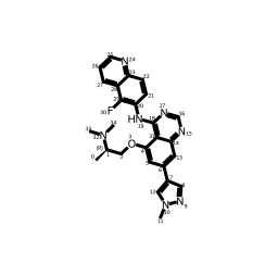 C[C@H](COc1cc(-c2cnn(C)c2)cc2ncnc(Nc3ccc4ncccc4c3F)c12)N(C)C